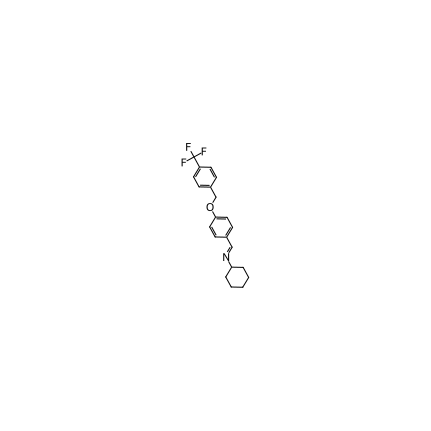 FC(F)(F)c1ccc(COc2ccc(C=NC3CCCCC3)cc2)cc1